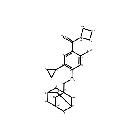 O=C(c1cc(C2CC2)c(OCC23CC4CC(CC(C4)C2)C3)cc1F)N1CCC1